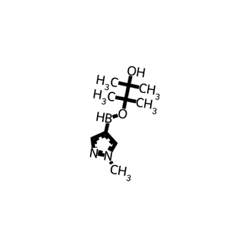 Cn1cc(BOC(C)(C)C(C)(C)O)cn1